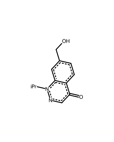 CC(C)n1ncc(=O)c2ccc(CO)cc21